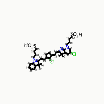 CC1(C)C2=CC(Cl)=CN(CCCCS(=O)(=O)O)C2=N/C1=C/C=C1\CCC(/C=C/C2=[N+](CCCCS(=O)(=O)O)c3ccccc3C2(C)C)=C1Cl